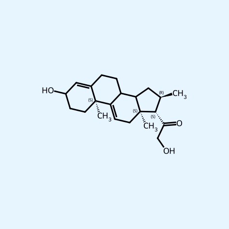 C[C@@H]1CC2C3CCC4=CC(O)CC[C@]4(C)C3=CC[C@]2(C)[C@H]1C(=O)CO